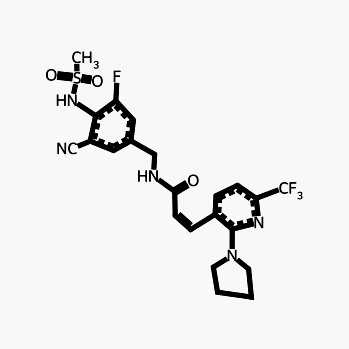 CS(=O)(=O)Nc1c(F)cc(CNC(=O)/C=C\c2ccc(C(F)(F)F)nc2N2CCCC2)cc1C#N